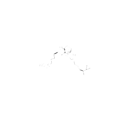 CC(=CCCSC[C@H]1[C@@H](C/C=C\CCCC(=O)O)[C@H]2CC[C@@H]1O2)C1CC1